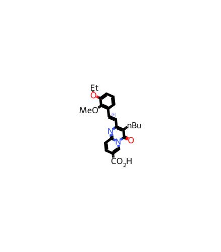 CCCCc1c(/C=C/c2cccc(OCC)c2OC)nc2ccc(C(=O)O)cn2c1=O